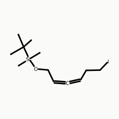 CC(C)(C)[Si](C)(C)OCC=C=CCCI